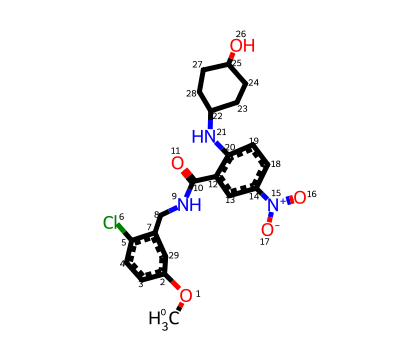 COc1ccc(Cl)c(CNC(=O)c2cc([N+](=O)[O-])ccc2NC2CCC(O)CC2)c1